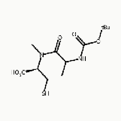 CC(NC(=O)OC(C)(C)C)C(=O)N(C)[C@@H](CS)C(=O)O